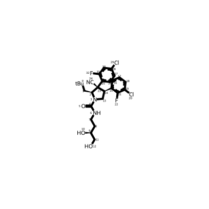 CC(C)(C)C[C@@H]1N(C(=O)NCC[C@H](O)CO)C[C@H](c2cccc(Cl)c2F)[C@@]1(C#N)c1ccc(Cl)cc1F